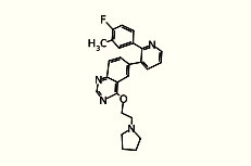 Cc1cc(-c2ncccc2-c2ccc3ncnc(OCCN4CCCC4)c3c2)ccc1F